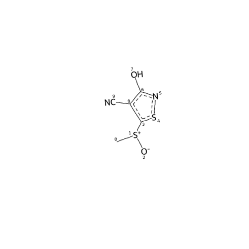 C[S+]([O-])c1snc(O)c1C#N